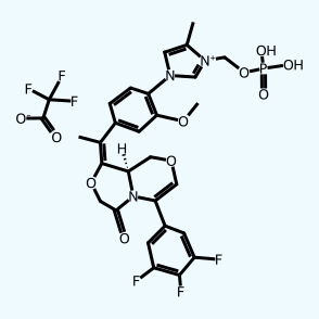 COc1cc(C(C)=C2OCC(=O)N3C(c4cc(F)c(F)c(F)c4)=COC[C@H]23)ccc1-n1cc(C)[n+](COP(=O)(O)O)c1.O=C([O-])C(F)(F)F